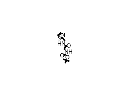 CC(C)(C)OC(=O)NCC(=O)NCc1nccs1